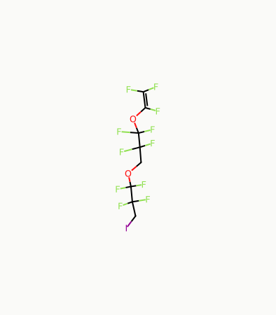 FC(F)=C(F)OC(F)(F)C(F)(F)COC(F)(F)C(F)(F)CI